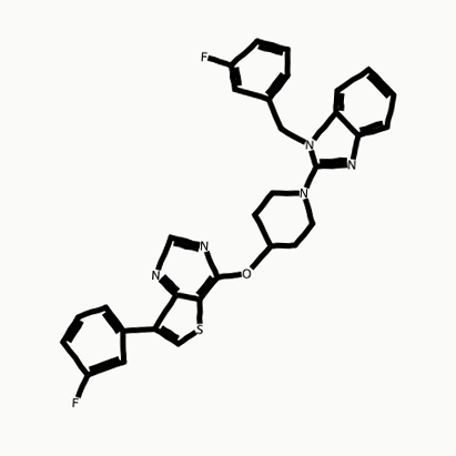 Fc1cccc(Cn2c(N3CCC(Oc4ncnc5c(-c6cccc(F)c6)csc45)CC3)nc3ccccc32)c1